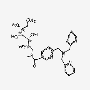 CC(=O)OC[C@@H](OC(C)=O)[C@@H](O)[C@H](O)[C@@H](O)CN(C)C(=O)c1ccc(CN(Cc2ccccn2)Cc2ccccn2)nc1